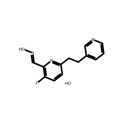 Cl.ON=Cc1nc(CCc2cccnc2)ccc1F